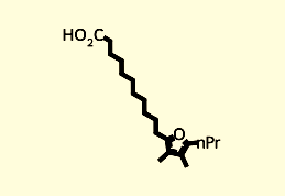 CCCc1oc(CCCCCCCCCCC(=O)O)c(C)c1C